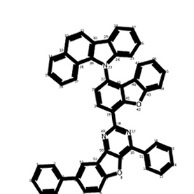 c1ccc(-c2ccc3oc4c(-c5ccccc5)nc(-c5ccc(-n6c7ccccc7c7ccc8ccccc8c76)c6c5oc5ccccc56)nc4c3c2)cc1